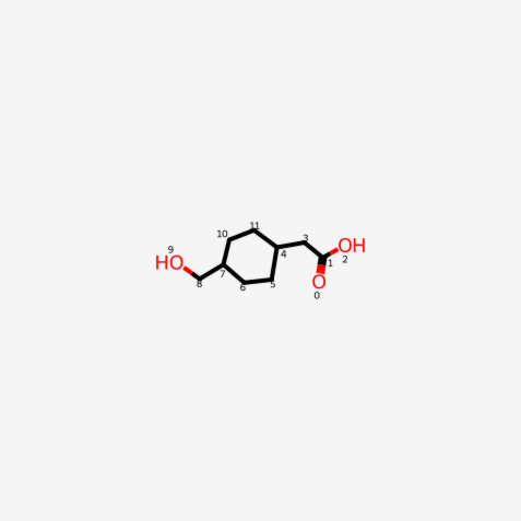 O=C(O)CC1CCC(CO)CC1